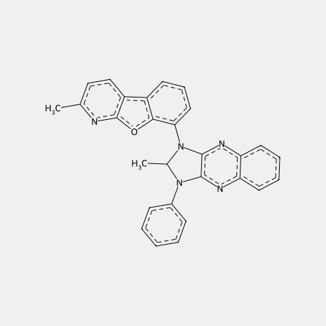 Cc1ccc2c(n1)oc1c(N3c4nc5ccccc5nc4N(c4ccccc4)C3C)cccc12